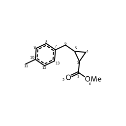 COC(=O)C1CC1Cc1ccc(C)cc1